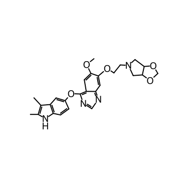 COc1cc2c(Oc3ccc4[nH]c(C)c(C)c4c3)ncnc2cc1OCCN1CC2OCOC2C1